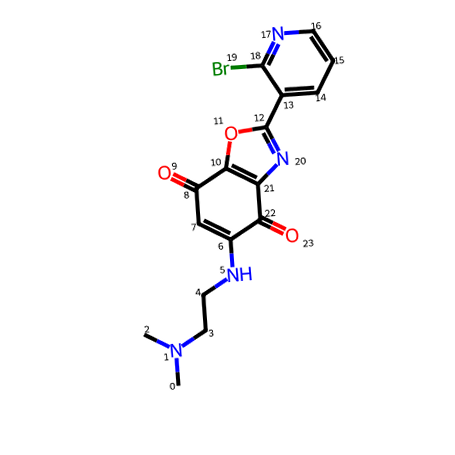 CN(C)CCNC1=CC(=O)c2oc(-c3cccnc3Br)nc2C1=O